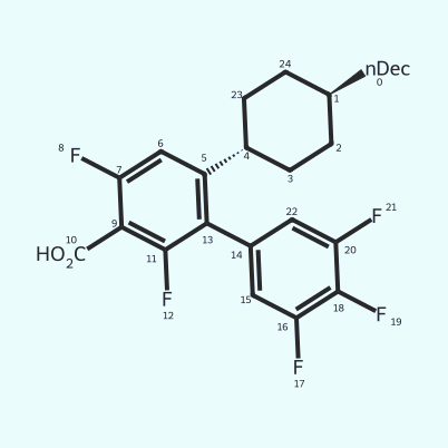 CCCCCCCCCC[C@H]1CC[C@H](c2cc(F)c(C(=O)O)c(F)c2-c2cc(F)c(F)c(F)c2)CC1